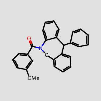 COc1cccc(C(=O)N2Cc3ccccc3C(c3ccccc3)c3ccccc32)c1